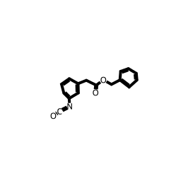 O=C=Nc1cccc(CC(=O)OCc2ccccc2)c1